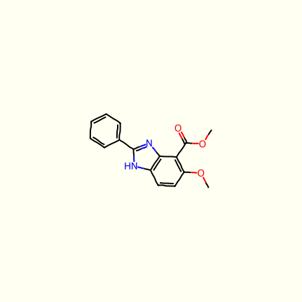 COC(=O)c1c(OC)ccc2[nH]c(-c3ccccc3)nc12